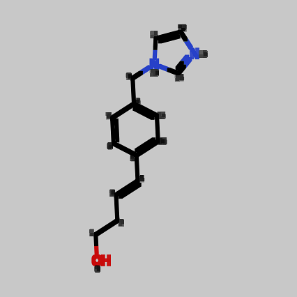 OCC/C=C/c1ccc(Cn2ccnc2)cc1